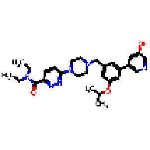 CCN(CC)C(=O)c1ccc(N2CCN(Cc3cc(OC(C)C)cc(-c4cncc(O)c4)c3)CC2)nn1